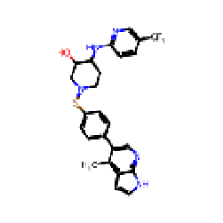 Cc1c(-c2ccc(SN3CCC(Nc4ccc(C(F)(F)F)cn4)C(O)C3)cc2)cnc2[nH]ccc12